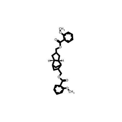 COc1ccccc1C(=O)OCC1C[C@@H]2C3CC(CC3COC(=O)c3ccccc3OC)[C@@H]2C1